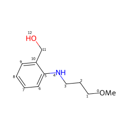 COCCCNc1ccccc1CO